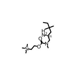 CCC(C)(C)C[C@H](N)CN(C)C(=O)OCC[Si](C)(C)C